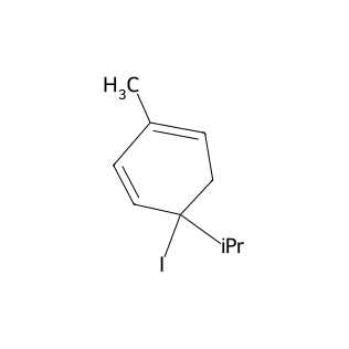 CC1=CCC(I)(C(C)C)C=C1